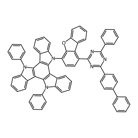 c1ccc(-c2ccc(-c3nc(-c4ccccc4)nc(-c4ccc(-n5c6ccccc6c6c7c(c8ccccc8n7-c7ccccc7)c7c(c8ccccc8n7-c7ccccc7)c65)c5oc6ccccc6c45)n3)cc2)cc1